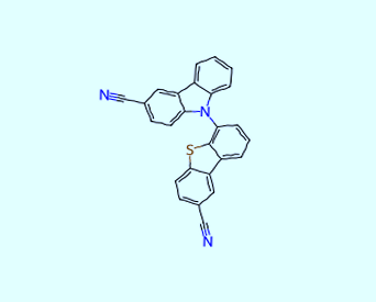 N#Cc1ccc2sc3c(-n4c5ccccc5c5cc(C#N)ccc54)cccc3c2c1